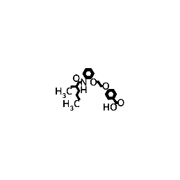 CCCCC(CC)C(=O)Nc1ccccc1OCCOc1ccc(C(=O)O)cc1